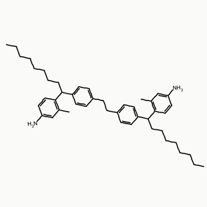 CCCCCCCCC(c1ccc(CCc2ccc(C(CCCCCCCC)c3ccc(N)cc3C)cc2)cc1)c1ccc(N)cc1C